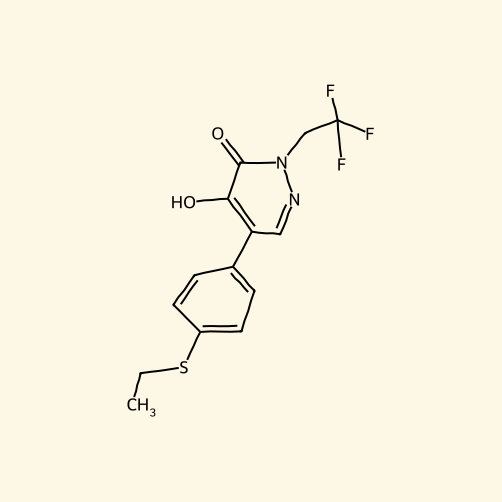 CCSc1ccc(-c2cnn(CC(F)(F)F)c(=O)c2O)cc1